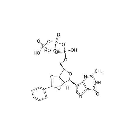 Cc1nc2c(ncn2[C@@H]2O[C@H](COP(=O)(O)OP(=O)(O)OP(=O)(O)O)C3OC(c4ccccc4)O[C@@H]32)c(=O)[nH]1